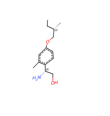 CC[C@H](C)COc1ccc([C@@H](N)CO)c(C)c1